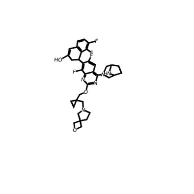 OC1=Cc2ccc(F)c(F)c2C(c2c(F)cc3c(N4CC5CCC(C4)N5)nc(OCC4(CN5CCC6(COC6)C5)CC4)nc3c2F)C1